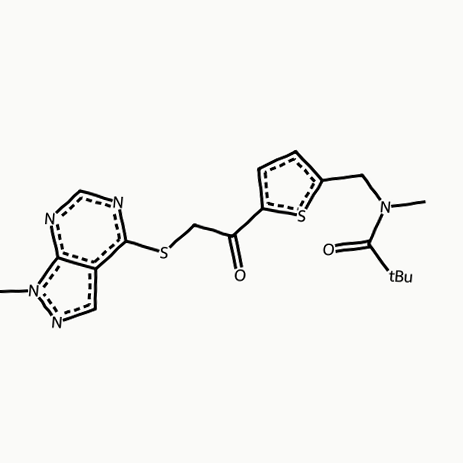 CN(Cc1ccc(C(=O)CSc2ncnc3c2cnn3C)s1)C(=O)C(C)(C)C